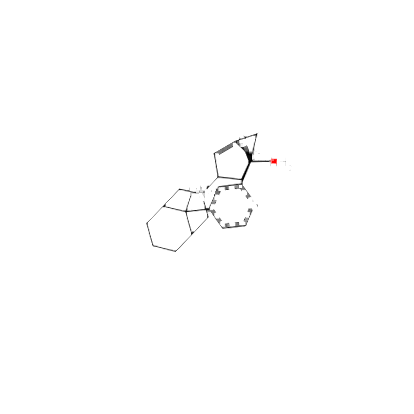 COC1(c2ccnc(C(N)=O)c2)C2CCCC1CN(C1C=C3C[C@H]3C1)C2